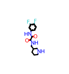 O=C(NCC1CCCNC1)C(=O)Nc1ccc(F)c(F)c1